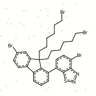 BrCCCCCCC1(CCCCCCBr)c2cc(Br)ccc2-c2cccc(-c3ccc(Br)c4nnsc34)c21